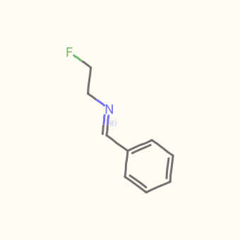 FCC/N=C/c1ccccc1